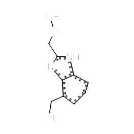 COCc1nc2c(CO)cccc2[nH]1